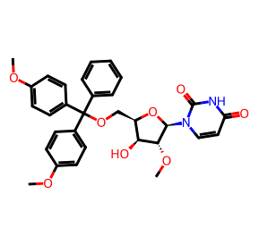 COc1ccc(C(OC[C@H]2O[C@@H](n3ccc(=O)[nH]c3=O)[C@H](OC)[C@H]2O)(c2ccccc2)c2ccc(OC)cc2)cc1